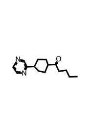 CCCCC(=O)C1CCC(c2cnccn2)CC1